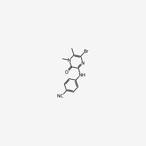 Cc1c(Br)nc(Nc2ccc(C#N)cc2)c(=O)n1C